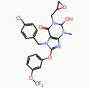 CN1c2nc(Oc3cccc(OC(F)(F)F)c3)n(Cc3ccc(Cl)cc3)c2C(=O)N(CC2CO2)C1O